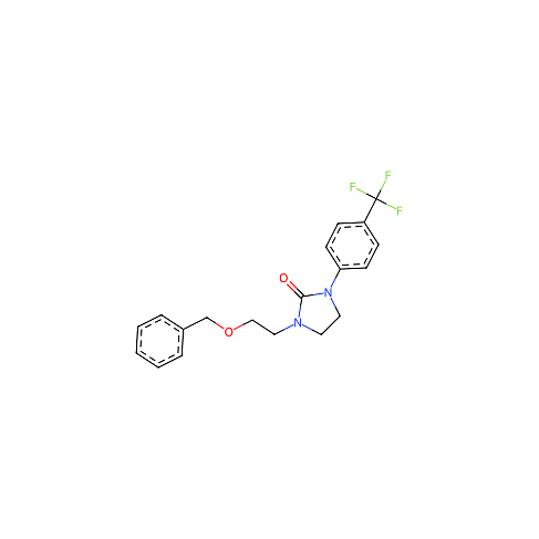 O=C1N(CCOCc2ccccc2)CCN1c1ccc(C(F)(F)F)cc1